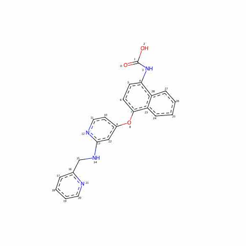 O=C(O)Nc1ccc(Oc2ccnc(NCc3ccccn3)c2)c2ccccc12